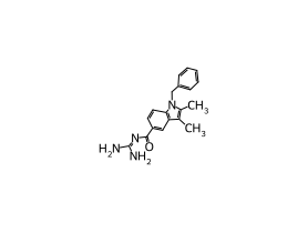 Cc1c(C)n(Cc2ccccc2)c2ccc(C(=O)N=C(N)N)cc12